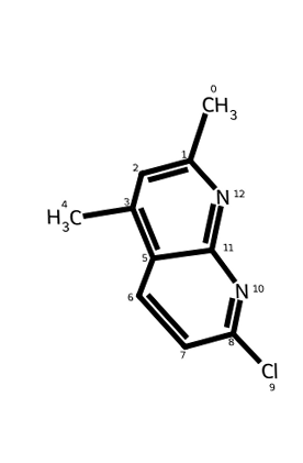 Cc1cc(C)c2ccc(Cl)nc2n1